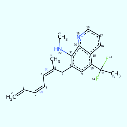 C=C/C=C\C=C(\C)Cc1cc(C(C)(F)F)c2cccnc2c1NC